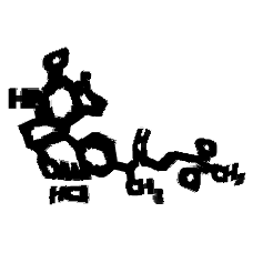 COc1ccc2[nH]c(=O)c3sccc3c2c1-c1ccc(C(C)NCCS(C)(=O)=O)cc1.Cl